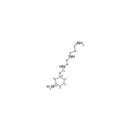 NCCCNCCNCCC1CCCC(N)C1